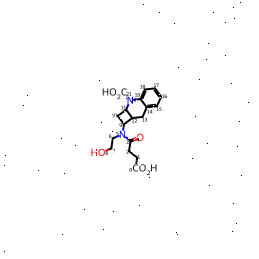 O=C(O)CCC(=O)N(CCO)C1CC2C1Cc1ccccc1N2C(=O)O